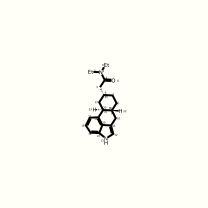 CCN(CC)C(=O)C[C@@H]1CC[C@@H]2Cc3c[nH]c4cccc(c34)[C@H]2C1